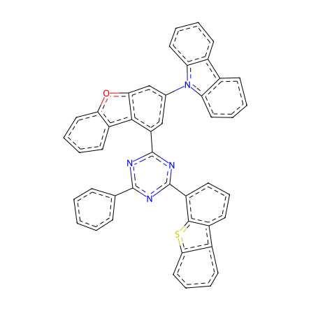 c1ccc(-c2nc(-c3cccc4c3sc3ccccc34)nc(-c3cc(-n4c5ccccc5c5ccccc54)cc4oc5ccccc5c34)n2)cc1